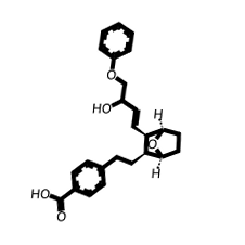 O=C(O)c1ccc(CC[C@H]2[C@@H](/C=C/C(O)COc3ccccc3)[C@H]3CC[C@@H]2O3)cc1